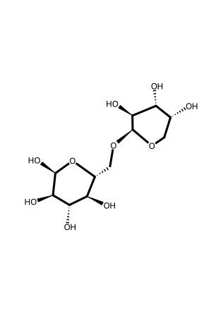 O[C@@H]1[C@@H](O)[C@@H](O)O[C@H](CO[C@@H]2OC[C@@H](O)[C@@H](O)[C@@H]2O)[C@H]1O